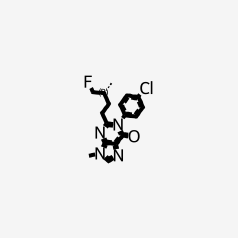 C[C@@H](CF)CCc1nc2c(ncn2C)c(=O)n1-c1ccc(Cl)cc1